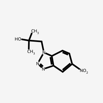 CC(C)(O)Cn1nnc2cc([N+](=O)[O-])ccc21